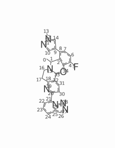 CC(c1cc(F)ccc1-c1cnn(C)c1)N1CCc2nc(-c3cccc4cnnn34)ccc2C1=O